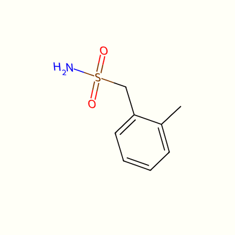 Cc1ccccc1CS(N)(=O)=O